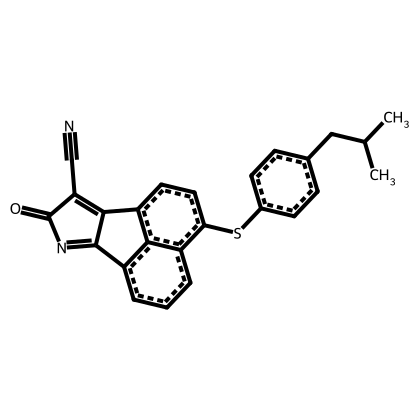 CC(C)Cc1ccc(Sc2ccc3c4c(cccc24)C2=NC(=O)C(C#N)=C23)cc1